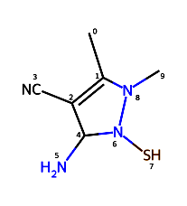 CC1=C(C#N)C(N)N(S)N1C